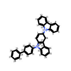 C1=CC(n2c3ccccc3c3ccccc32)Cc2c1n(-c1ccc(-c3ccccc3)cc1)c1ccccc21